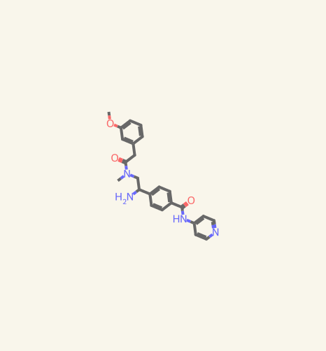 COc1cccc(CC(=O)N(C)CC(N)c2ccc(C(=O)Nc3ccncc3)cc2)c1